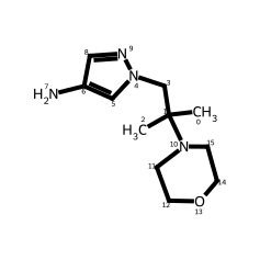 CC(C)(Cn1cc(N)cn1)N1CCOCC1